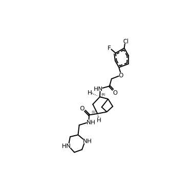 O=C(COc1ccc(Cl)c(F)c1)N[C@@H]1C[C@H](C(=O)NCC2CNCCN2)C2CC1C2